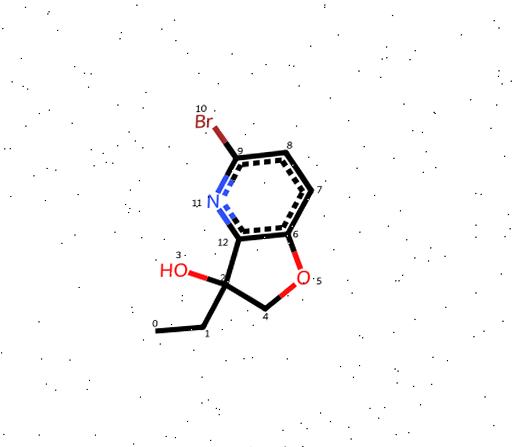 CCC1(O)COc2ccc(Br)nc21